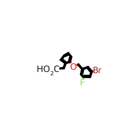 O=C(O)Cc1ccccc1OCc1cc(F)cc(Br)c1